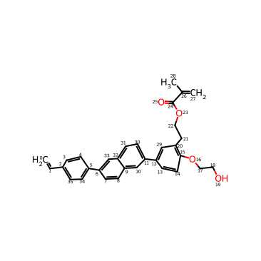 C=Cc1ccc(-c2ccc3cc(-c4ccc(OCCO)c(CCOC(=O)C(=C)C)c4)ccc3c2)cc1